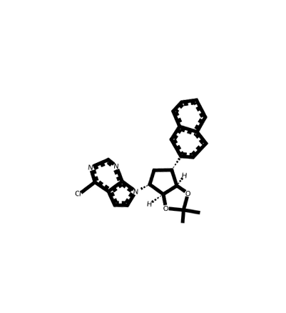 CC1(C)O[C@@H]2[C@H](O1)[C@@H](c1ccc3ccccc3c1)C[C@H]2n1ccc2c(Cl)ncnc21